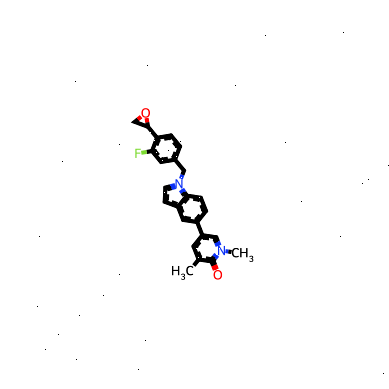 Cc1cc(-c2ccc3c(ccn3Cc3ccc(C4CO4)c(F)c3)c2)cn(C)c1=O